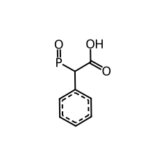 O=PC(C(=O)O)c1ccccc1